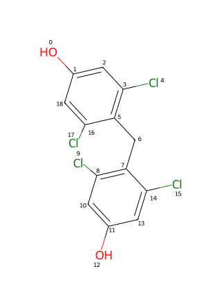 Oc1cc(Cl)c(Cc2c(Cl)cc(O)cc2Cl)c(Cl)c1